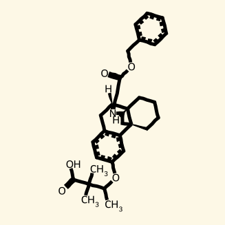 CC(Oc1ccc2c(c1)[C@@]13CCCC[C@H]1[C@@H](C2)N(C(=O)OCc1ccccc1)CC3)C(C)(C)C(=O)O